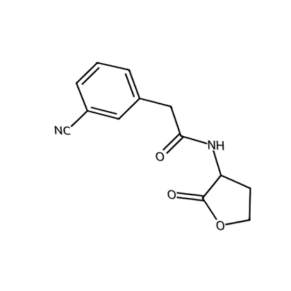 N#Cc1cccc(CC(=O)NC2CCOC2=O)c1